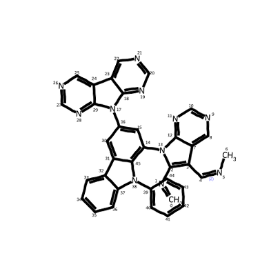 C=Nc1c(/C=N\C)c2cncnc2n1-c1cc(-n2c3ncncc3c3cncnc32)cc2c3ccccc3n(-c3ccccc3)c12